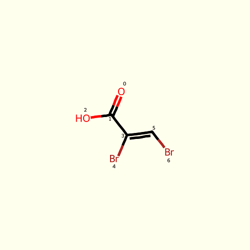 O=C(O)/C(Br)=C/Br